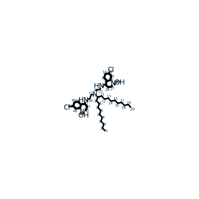 CCCCCCCCCCC(CCCCCCCCCC)N(CCNc1cc[n+](O)c2cc(Cl)ccc12)CCNc1cc[n+](O)c2cc(Cl)ccc12